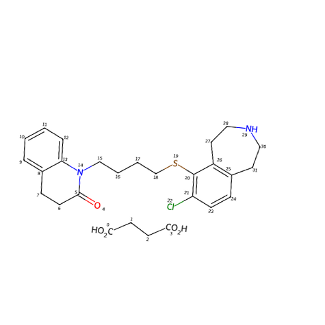 O=C(O)CCC(=O)O.O=C1CCc2ccccc2N1CCCCSc1c(Cl)ccc2c1CCNCC2